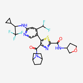 O=C(NC1CCOC1)c1nc(C(=O)N2C3CCC2CC3)c(-c2cnc(NC(C3CC3)C(F)(F)F)cc2C(F)F)s1